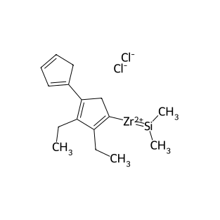 CCC1=[C]([Zr+2]=[Si](C)C)CC(C2=CC=CC2)=C1CC.[Cl-].[Cl-]